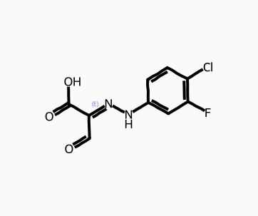 O=C/C(=N\Nc1ccc(Cl)c(F)c1)C(=O)O